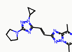 Cc1ncc(C)n2nc(C=Cc3nc(N4CCCC4)nn3C3CC3)nc12